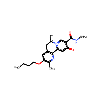 COCCCOc1cc2c(nc1OC)-c1cc(=O)c(C(=O)NNC(C)=O)cn1[C@H](C(C)C)C2